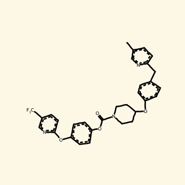 Cc1ccc(Cc2ccc(OC3CCN(C(=O)Oc4ccc(Oc5ccc(C(F)(F)F)cn5)cc4)CC3)cc2)nc1